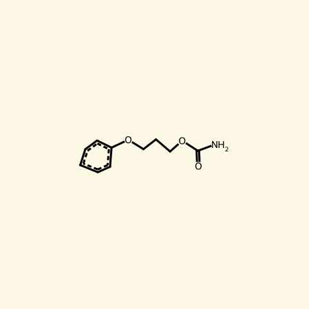 NC(=O)OCCCOc1ccccc1